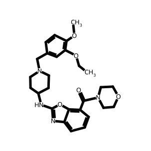 CCOc1cc(CN2CCC(Nc3nc4cccc(C(=O)N5CCOCC5)c4o3)CC2)ccc1OC